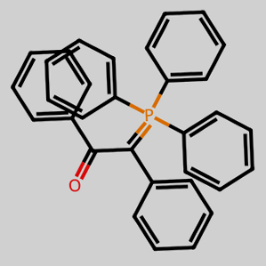 O=C(C(c1ccccc1)=P(c1ccccc1)(c1ccccc1)c1ccccc1)c1ccccc1